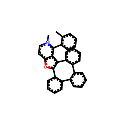 Cc1ccccc1-c1c2c3c(oc2cc[n+]1C)-c1ccccc1-c1ccccc1-c1ccccc1-3